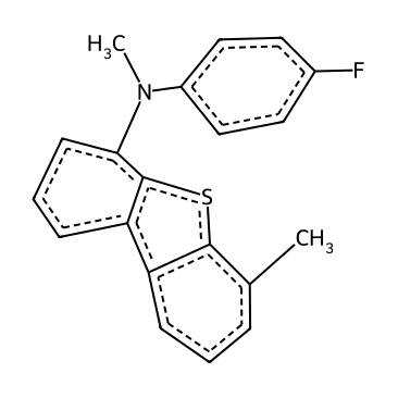 Cc1cccc2c1sc1c(N(C)c3ccc(F)cc3)cccc12